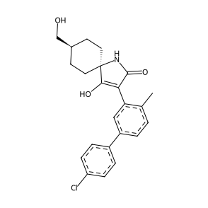 Cc1ccc(-c2ccc(Cl)cc2)cc1C1=C(O)[C@]2(CC[C@H](CO)CC2)NC1=O